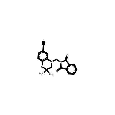 CC1(C)CN(CN2C(=O)c3ccccc3C2=O)c2cc(C#N)ccc2O1